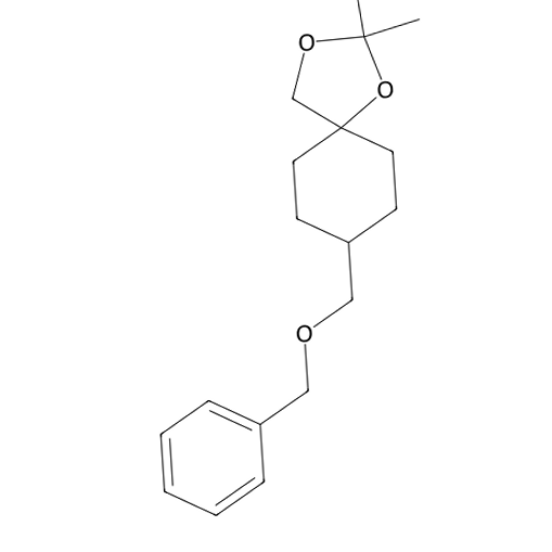 CC1(C)OCC2(CCC(COCc3ccccc3)CC2)O1